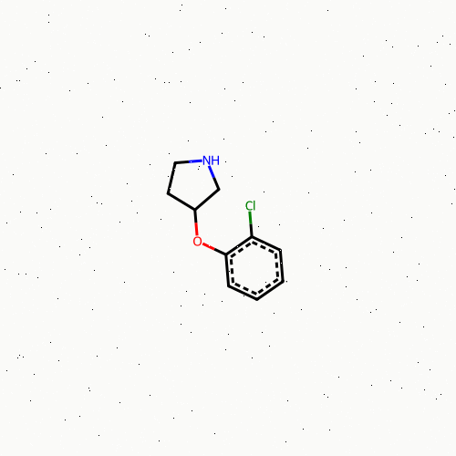 Clc1c[c]ccc1OC1CCNC1